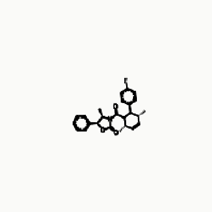 C[C@@H]1C=C[C@H](C)C(C(=O)N2C(=O)O[C@@H](c3ccccc3)[C@H]2C)C1c1ccc(F)cc1